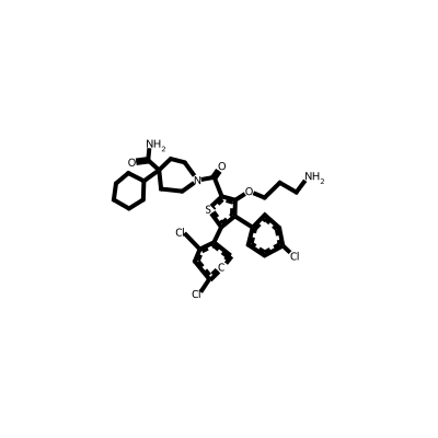 NCCCOc1c(C(=O)N2CCC(C(N)=O)(C3CCCCC3)CC2)sc(-c2ccc(Cl)cc2Cl)c1-c1ccc(Cl)cc1